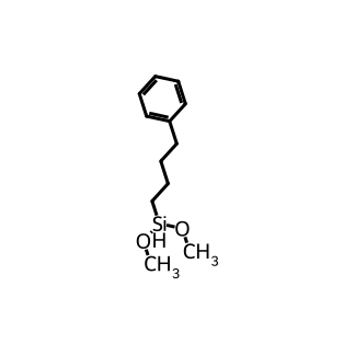 CO[SiH](CCCCc1ccccc1)OC